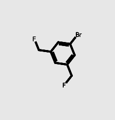 FCc1cc(Br)cc(CF)c1